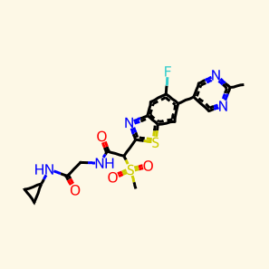 Cc1ncc(-c2cc3sc(C(C(=O)NCC(=O)NC4CC4)S(C)(=O)=O)nc3cc2F)cn1